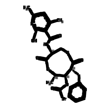 Cc1cc(C)c(C(=O)N[C@H]2COC(=O)[C@H](Cc3ccccc3)[C@@H](OC(=O)C(C)C)[C@H](C)OC2=O)c(O)n1